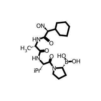 CC(C)[C@H](NC(=O)[C@H](C)NC(=O)[C@@H](N=O)C1CCCCC1)C(=O)N1CCC[C@H]1B(O)O